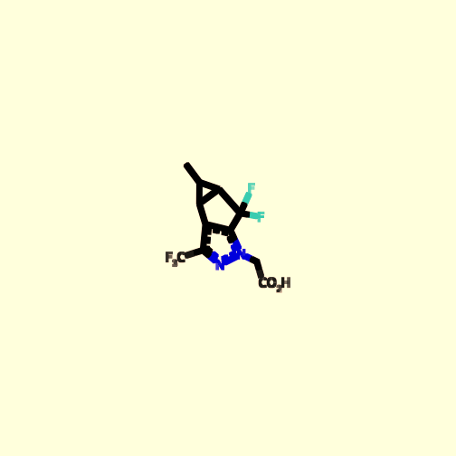 CC1C2c3c(C(F)(F)F)nn(CC(=O)O)c3C(F)(F)C12